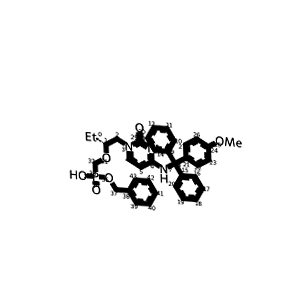 CC[C@H](Cn1ccc(NC(c2ccccc2)(c2ccccc2)c2ccc(OC)cc2)nc1=O)OCP(=O)(O)OCc1ccccc1